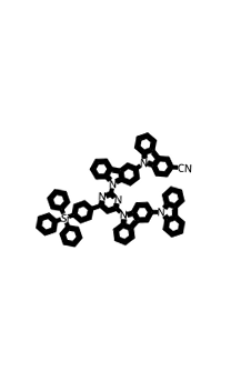 N#Cc1ccc2c(c1)c1ccccc1n2-c1ccc2c(c1)c1ccccc1n2-c1nc(-c2ccc([Si](c3ccccc3)(c3ccccc3)c3ccccc3)cc2)cc(-n2c3ccccc3c3cc(-n4c5ccccc5c5ccccc54)ccc32)n1